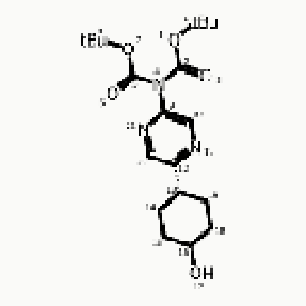 CC(C)(C)OC(=O)N(C(=O)OC(C)(C)C)c1cnc([C@H]2CC[C@H](O)CC2)cn1